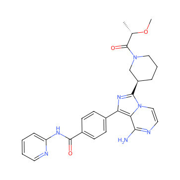 CO[C@@H](C)C(=O)N1CCC[C@@H](c2nc(-c3ccc(C(=O)Nc4ccccn4)cc3)c3c(N)nccn23)C1